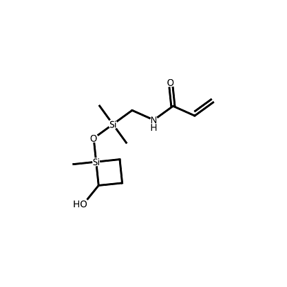 C=CC(=O)NC[Si](C)(C)O[Si]1(C)CCC1O